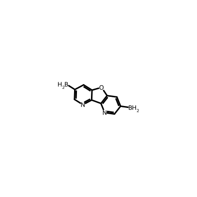 Bc1cnc2c(c1)oc1cc(B)cnc12